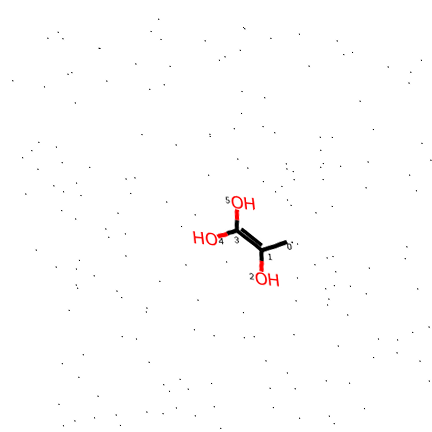 [CH2]C(O)=C(O)O